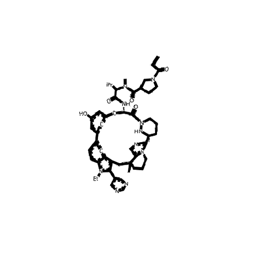 C=CC(=O)N1CCC(C(=O)N(C)C(C(=O)N[C@H]2Cc3cc(O)cc(c3)-c3ccc4c(c3)c(c(-c3cncnc3)n4CC)CC3(C)CCCn4c3cnc4[C@@H]3CCCN(N3)C2=O)C(C)C)C1